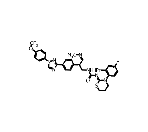 C/N=C\C(CNC(=O)/N=C1\SCCCN1c1ccc(F)cc1C(C)C)c1ccc(-c2ncn(-c3ccc(OC(F)(F)F)cc3)n2)cc1